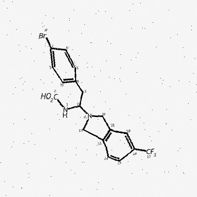 O=C(O)NC(Cc1ccc(Br)cc1)N1Cc2ccc(C(F)(F)F)cc2C1